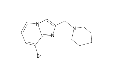 Brc1cccn2cc(CN3CCCCC3)nc12